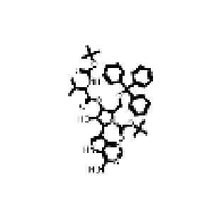 CC(C)[C@H](NC(=O)OC(C)(C)C)C(=O)OC1C(O)C(c2c[nH]c3c(N)ncnc23)N(C(=O)OC(C)(C)C)C1COC(c1ccccc1)(c1ccccc1)c1ccccc1